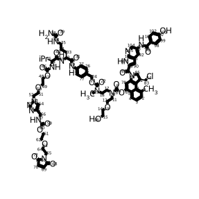 Cc1cccc2c(OC(=O)N(CCOCCO)CCN(C)C(=O)OCc3ccc(NC(=O)[C@H](CCCNC(N)=O)NC(=O)[C@@H](NC(=O)OCCOCCn4cc(CNC(=O)OCCOCCN5C(=O)C=CC5=O)nn4)C(C)C)cc3)cc3c(c12)[C@H](CCl)CN3C(=O)c1cc2cc(NC(=O)c3ccc(O)cc3)cnc2[nH]1